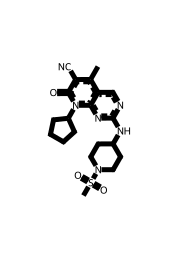 Cc1c(C#N)c(=O)n(C2CCCC2)c2nc(NC3CCN(S(C)(=O)=O)CC3)ncc12